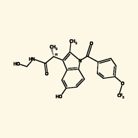 Cc1c([C@@H](C)C(=O)NCO)c2cc(O)ccc2n1C(=O)c1ccc(OC(F)(F)F)cc1